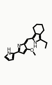 CCc1[nH]c(/C=C2/N=C(c3ccc[nH]3)C=C2OC)c2c1CCCC2